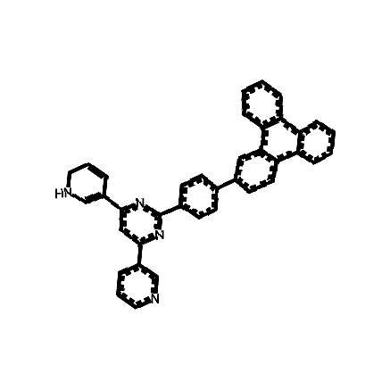 C1=CC(c2cc(-c3cccnc3)nc(-c3ccc(-c4ccc5c6ccccc6c6ccccc6c5c4)cc3)n2)=CNC1